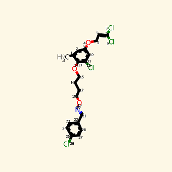 Cc1cc(OCC=C(Cl)Cl)cc(Cl)c1OCCCCO/N=C/c1ccc(Cl)cc1